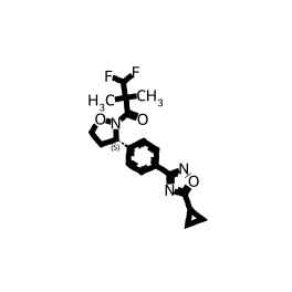 CC(C)(C(=O)N1OCC[C@H]1c1ccc(-c2noc(C3CC3)n2)cc1)C(F)F